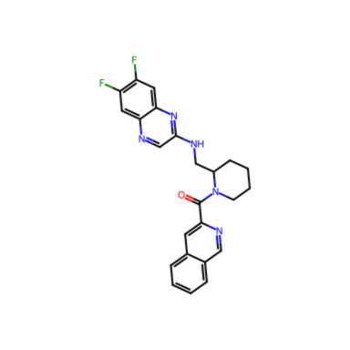 O=C(c1cc2ccccc2cn1)N1CCCCC1CNc1cnc2cc(F)c(F)cc2n1